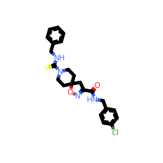 O=C(NCc1ccc(Cl)cc1)C1=NOC2(CCN(C(=S)NCc3ccccc3)CC2)C1